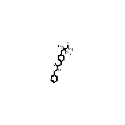 CC(C)(Cc1ccc(CC(=O)NCc2ccccc2)cc1)C(=O)O